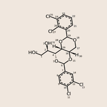 OC[C@@H](O)[C@H]1OC(c2ccc(Cl)c(Cl)c2)O[C@H]2COC(c3cccc(Cl)c3Cl)O[C@@H]12